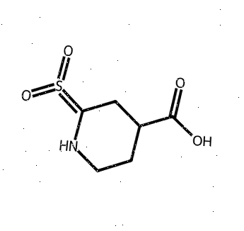 O=C(O)C1CCNC(=S(=O)=O)C1